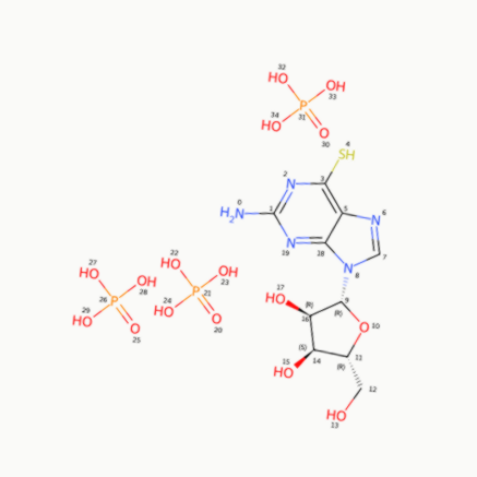 Nc1nc(S)c2ncn([C@@H]3O[C@H](CO)[C@@H](O)[C@H]3O)c2n1.O=P(O)(O)O.O=P(O)(O)O.O=P(O)(O)O